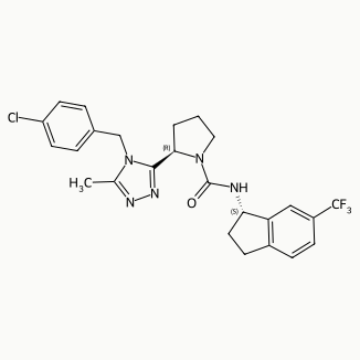 Cc1nnc([C@H]2CCCN2C(=O)N[C@H]2CCc3ccc(C(F)(F)F)cc32)n1Cc1ccc(Cl)cc1